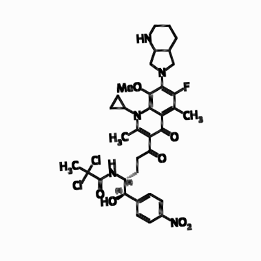 COc1c(N2CC3CCCNC3C2)c(F)c(C)c2c(=O)c(C(=O)CC[C@@H](NC(=O)C(C)(Cl)Cl)[C@H](O)c3ccc([N+](=O)[O-])cc3)c(C)n(C3CC3)c12